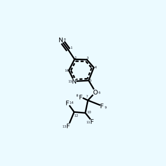 N#Cc1ccc(OC(F)(F)C(F)C(F)F)nc1